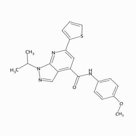 COc1ccc(NC(=O)c2cc(-c3cccs3)nc3c2cnn3C(C)C)cc1